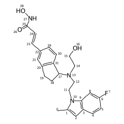 Cc1cc2ccc(F)cc2n1CCN(CCO)C1CCc2cc(C=CC(=O)NO)ccc21